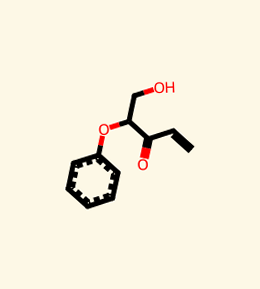 C=CC(=O)C(CO)Oc1ccccc1